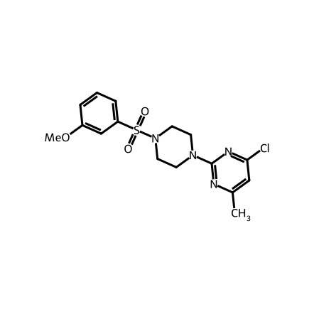 COc1cccc(S(=O)(=O)N2CCN(c3nc(C)cc(Cl)n3)CC2)c1